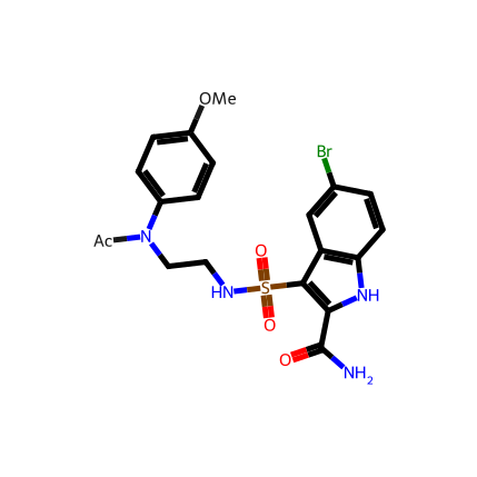 COc1ccc(N(CCNS(=O)(=O)c2c(C(N)=O)[nH]c3ccc(Br)cc23)C(C)=O)cc1